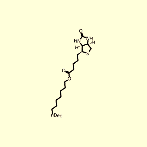 CCCCCCCCCCCCCCCCCOC(=O)CCCC[C@@H]1SC[C@@H]2NC(=O)N[C@@H]21